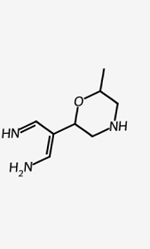 CC1CNCC(/C(C=N)=C/N)O1